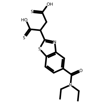 CCN(CC)C(=O)c1ccc2sc(C(CC(O)=S)C(O)=S)nc2c1